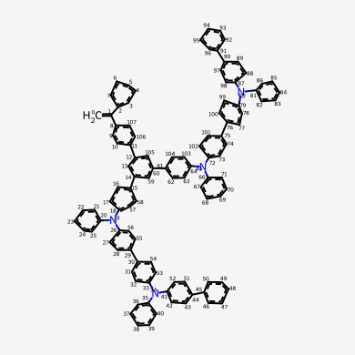 C=C(c1ccccc1)c1ccc(-c2cc(-c3ccc(N(c4ccccc4)c4ccc(-c5ccc(N(c6ccccc6)c6ccc(-c7ccccc7)cc6)cc5)cc4)cc3)cc(-c3ccc(N(c4ccccc4)c4ccc(-c5ccc(N(c6ccccc6)c6ccc(-c7ccccc7)cc6)cc5)cc4)cc3)c2)cc1